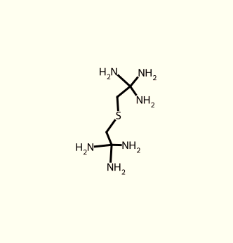 NC(N)(N)CSCC(N)(N)N